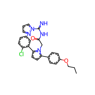 CCCOc1ccc(-c2ccc(-c3ccccc3Cl)n2CC(=O)NC(=N)n2cccn2)cc1